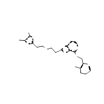 Cc1nc(CCNCCc2nc3c(NCC4=C(F)CCC=N4)nccc3s2)[nH]c1C